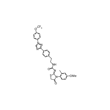 COc1ccc(N2C(=O)CSC2=NC(=O)NCCc2ccc(-c3ncn(-c4ccc(OC(F)(F)F)cc4)n3)cc2)c(C)c1